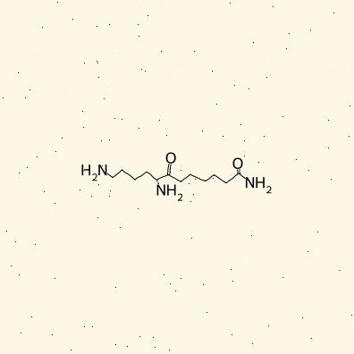 NCCCCC(N)C(=O)CCCCCC(N)=O